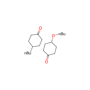 CCCCC1CCC(=O)CC1.CCCCOC1CCC(=O)CC1